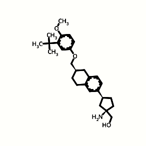 COc1ccc(OC[C@@H]2CCc3cc([C@H]4CC[C@](N)(CO)C4)ccc3C2)cc1C(C)(C)C